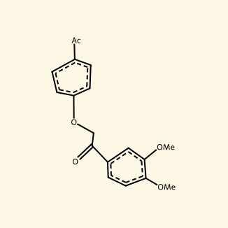 COc1ccc(C(=O)COc2ccc(C(C)=O)cc2)cc1OC